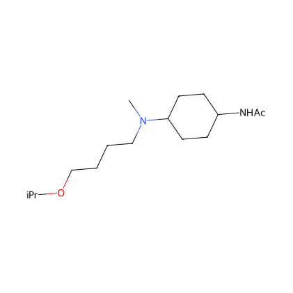 CC(=O)NC1CCC(N(C)CCCCOC(C)C)CC1